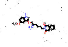 COc1ccc2[nH]cc(OCC(N)CCCCN3C(=O)CC4(CCCC4)CC3=O)c2c1